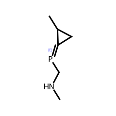 CNC/P=C1\CC1C